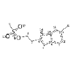 Cc1ccc2cc(CCOS(C)(=O)=O)sc2c1